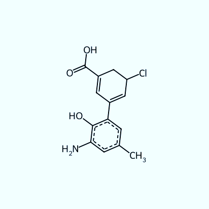 Cc1cc(N)c(O)c(C2=CC(Cl)CC(C(=O)O)=C2)c1